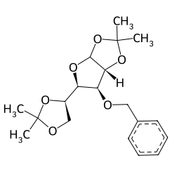 CC1(C)OC[C@H]([C@H]2OC3OC(C)(C)O[C@@H]3[C@H]2OCc2ccccc2)O1